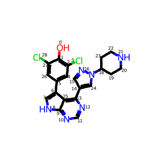 Oc1c(Cl)cc(-c2c[nH]c3ncnc(-c4cnn(C5CCNCC5)c4)c23)cc1Cl